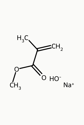 C=C(C)C(=O)OC.[Na+].[OH-]